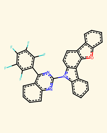 Fc1c(F)c(F)c(-c2nc(-n3c4ccccc4c4c5oc6ccccc6c5ccc43)nc3ccccc23)c(F)c1F